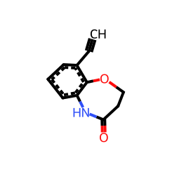 C#Cc1cccc2c1OCCC(=O)N2